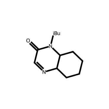 CCC(C)N1C(=O)C=NC2CCCCC21